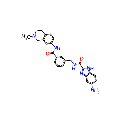 CN1CCc2ccc(NC(=O)c3cccc(CNC(=O)c4nc5cc(N)ccc5[nH]4)c3)cc2C1